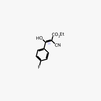 CCOC(=O)/C(C#N)=C(\O)c1ccc(F)cc1